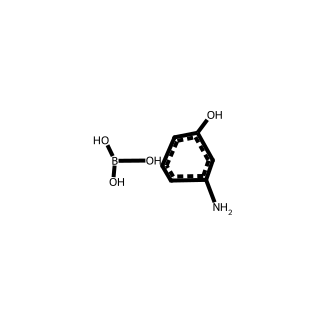 Nc1cccc(O)c1.OB(O)O